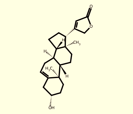 C[C@]12CC[C@H]3[C@@H](CC=C4C[C@@H](O)CC[C@@]43C)[C@@H]1CC[C@@H]2C1=CC(=O)OC1